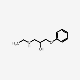 [CH2]CNCC(O)COc1ccccc1